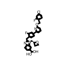 OC(O)c1ccc2nc(Cc3ccc(-c4cccc(OCc5ccc(Cl)cc5F)n4)cc3F)n(C[C@@H]3CCO3)c2c1